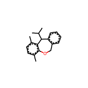 Cc1ccc(C)c2c1OCc1ccccc1C2C(C)C